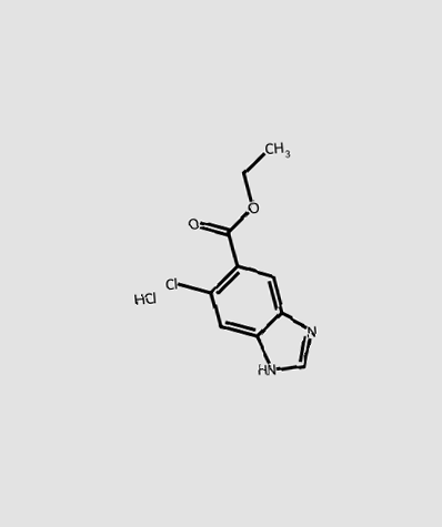 CCOC(=O)c1cc2nc[nH]c2cc1Cl.Cl